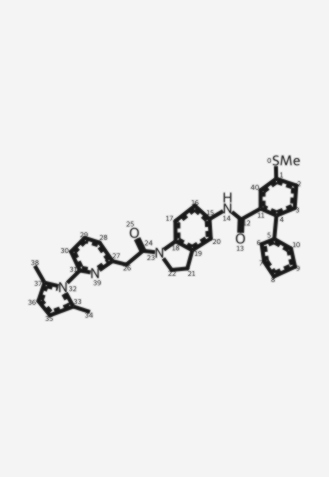 CSc1ccc(-c2ccccc2)c(C(=O)Nc2ccc3c(c2)CCN3C(=O)Cc2cccc(-n3c(C)ccc3C)n2)c1